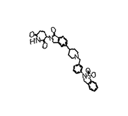 O=C1CCC(N2Cc3cc(C4CCN(Cc5cccc(N6Cc7ccccc7S6(=O)=O)c5)CC4)ccc3C2=O)C(=O)N1